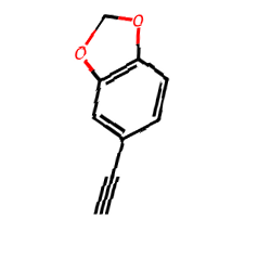 C#Cc1ccc2c(c1)OCO2